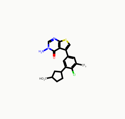 Nn1cnc2scc(-c3cc(C4CCC(C(=O)O)C4)c(Cl)c(C(F)(F)F)c3)c2c1=O